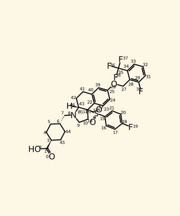 O=C(O)[C@H]1CC[C@H](CN2CC[C@@]3(S(=O)(=O)c4ccc(F)cc4)c4ccc(OCc5c(F)cccc5C(F)(F)F)cc4CC[C@@H]23)CC1